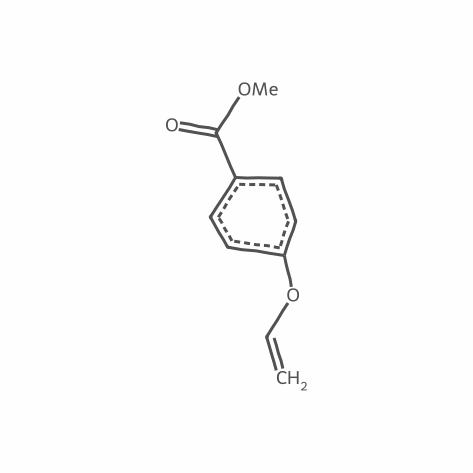 C=COc1ccc(C(=O)OC)cc1